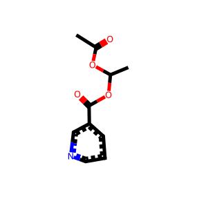 CC(=O)OC(C)OC(=O)c1cccnc1